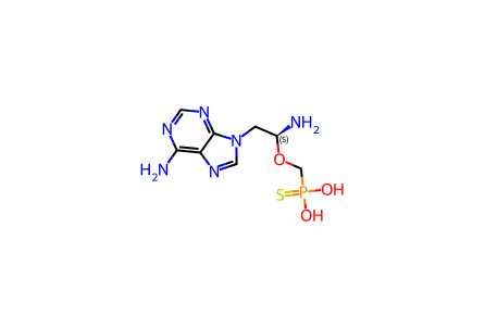 Nc1ncnc2c1ncn2C[C@@H](N)OCP(O)(O)=S